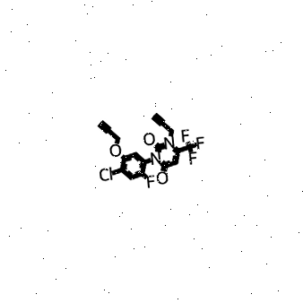 C#CCOc1cc(-n2c(=O)cc(C(F)(F)F)n(CC#C)c2=O)c(F)cc1Cl